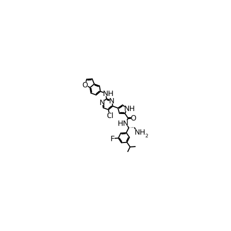 CC(C)c1cc(F)cc([C@@H](CN)NC(=O)c2cc(-c3nc(Nc4ccc5occc5c4)ncc3Cl)c[nH]2)c1